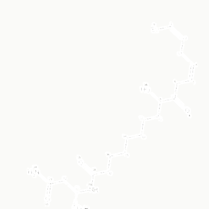 CC/C=C\C/C=C\CC(=O)C(O)CCCCCCCC(=O)N[C@@H](CC(N)=O)C(=O)O